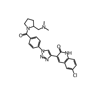 CN(C)CC1CCCN1C(=O)c1ccc(-n2cc(-c3cc4cc(Cl)ccc4[nH]c3=O)nn2)cc1